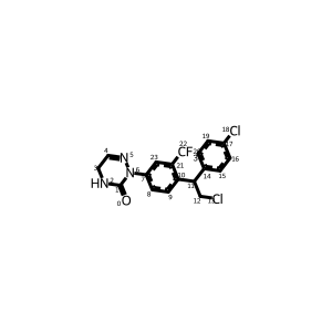 O=C1NCC=NN1c1ccc(C(CCl)c2ccc(Cl)cc2)c(C(F)(F)F)c1